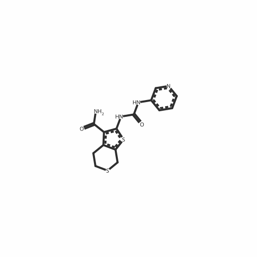 NC(=O)c1c(NC(=O)Nc2cccnc2)sc2c1CCSC2